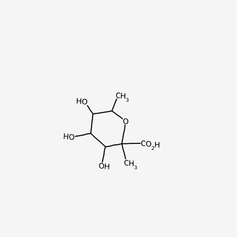 CC1OC(C)(C(=O)O)C(O)C(O)C1O